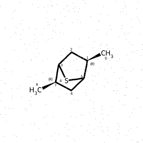 C[C@@H]1CC2SC1C[C@H]2C